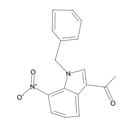 CC(=O)c1cn(Cc2ccccc2)c2c([N+](=O)[O-])cccc12